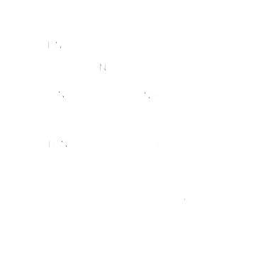 CC(C)S(=O)(=O)c1ccccc1-c1c[nH]c2nc(N)nc(N)c12